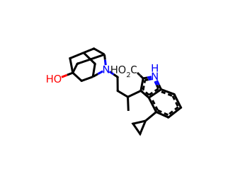 CC(CCN1C2CC3CC1CC(O)(C3)C2)c1c(C(=O)O)[nH]c2cccc(C3CC3)c12